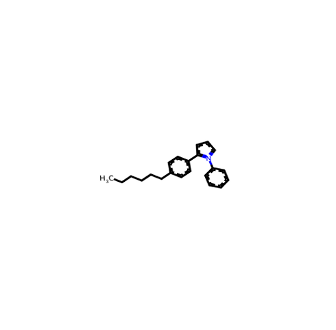 CCCCCCc1ccc(-c2cccn2-c2ccccc2)cc1